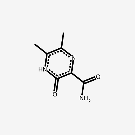 Cc1nc(C(N)=O)c(=O)[nH]c1C